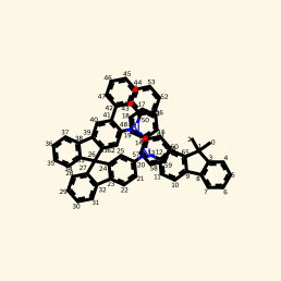 CC1(C)c2ccccc2-c2ccc(N(c3ccccc3)c3ccc4c(c3)C3(c5ccccc5-4)c4ccccc4-c4cc(-c5ccccc5)c(N(c5ccccc5)c5ccccc5)cc43)cc21